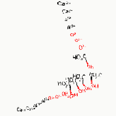 O.O=C(O)O.O=C(O)O.O=C(O)O.O=C(O)O.O=C(O)O.[Al+3].[Al+3].[Al+3].[Al+3].[Ca+2].[Ca+2].[Ca+2].[Ca+2].[O-2].[O-2].[O-2].[O-2].[O-2]